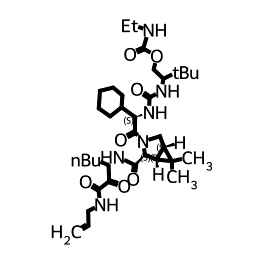 C=CCNC(=O)C(=O)C(CCCC)NC(=O)[C@@H]1[C@@H]2[C@H](CN1C(=O)[C@@H](NC(=O)NC(COC(=O)NCC)C(C)(C)C)C1CCCCC1)C2(C)C